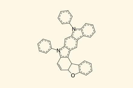 C1=CC2Oc3ccccc3C2c2c1n(-c1ccccc1)c1cc3c(cc21)c1ccccc1n3-c1ccccc1